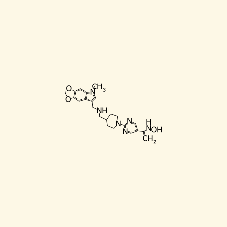 C=C(NO)c1cnc(N2CCC(CNCc3cn(C)c4cc5c(cc34)OCO5)CC2)nc1